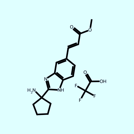 COC(=O)/C=C/c1ccc2[nH]c(C3(N)CCCC3)nc2c1.O=C(O)C(F)(F)F